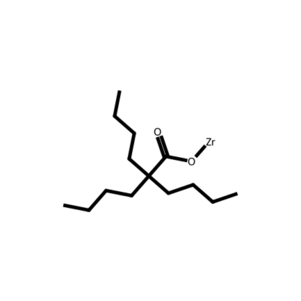 CCCCC(CCCC)(CCCC)C(=O)[O][Zr]